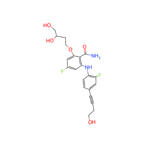 NC(=O)c1c(Nc2ccc(C#CCCO)cc2F)cc(F)cc1OCCC(O)CO